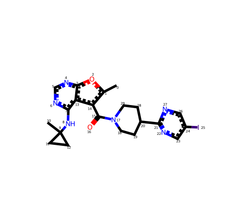 Cc1oc2ncnc(NC3(C)CC3)c2c1C(=O)N1CCC(c2ncc(I)cn2)CC1